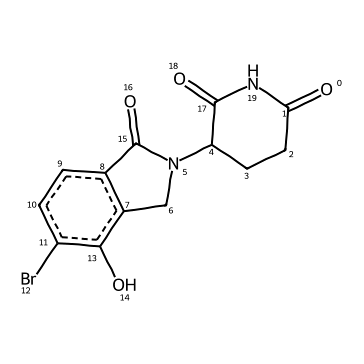 O=C1CCC(N2Cc3c(ccc(Br)c3O)C2=O)C(=O)N1